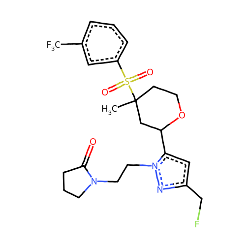 CC1(S(=O)(=O)c2cccc(C(F)(F)F)c2)CCOC(c2cc(CF)nn2CCN2CCCC2=O)C1